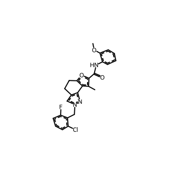 COc1ccccc1NC(=O)c1oc2c(c1C)-c1nn(Cc3c(F)cccc3Cl)cc1CC2